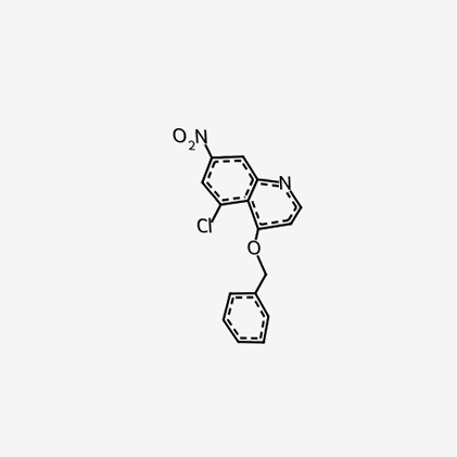 O=[N+]([O-])c1cc(Cl)c2c(OCc3ccccc3)ccnc2c1